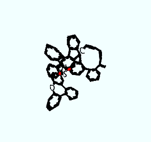 C=C1/C=C\C=C/CC2(c3cc(N(c4ccccc4)c4ccc5c(c4)-c4ccccc4-c4ccccc4O5)ccc3-c3ccccc31)c1ccccc1-c1cc3c(cc12)sc1ccccc13